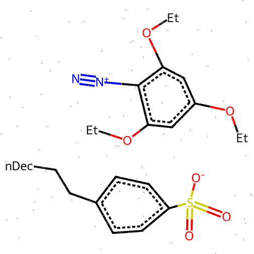 CCCCCCCCCCCCc1ccc(S(=O)(=O)[O-])cc1.CCOc1cc(OCC)c([N+]#N)c(OCC)c1